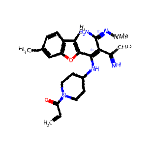 C=CC(=O)N1CCC(N/C(=C(C(=N)C=O)/C(N)=N\NC)c2oc3cc(C)ccc3c2C)CC1